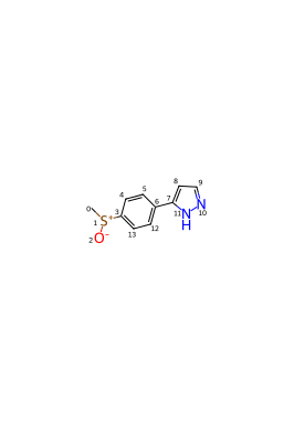 C[S+]([O-])c1ccc(-c2ccn[nH]2)cc1